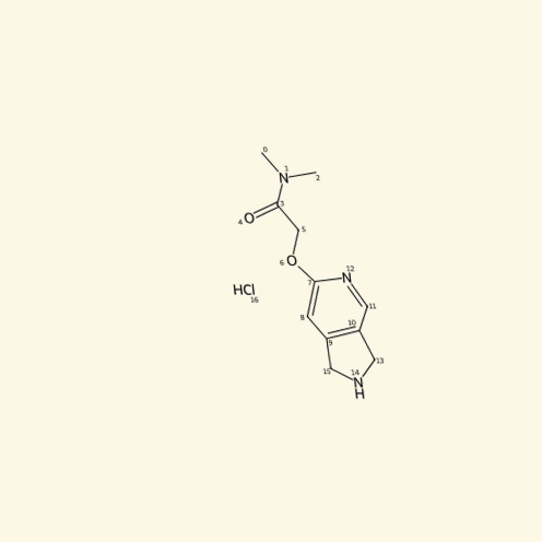 CN(C)C(=O)COc1cc2c(cn1)CNC2.Cl